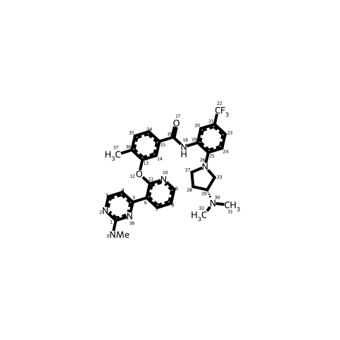 CNc1nccc(-c2cccnc2Oc2cc(C(=O)Nc3cc(C(F)(F)F)ccc3N3CC[C@@H](N(C)C)C3)ccc2C)n1